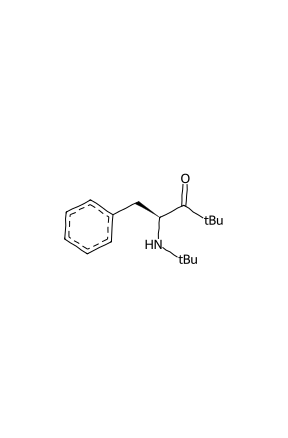 CC(C)(C)N[C@@H](Cc1ccccc1)C(=O)C(C)(C)C